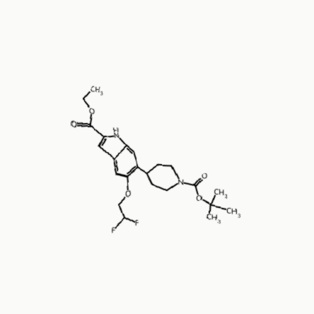 CCOC(=O)c1cc2cc(OCC(F)F)c(C3CCN(C(=O)OC(C)(C)C)CC3)cc2[nH]1